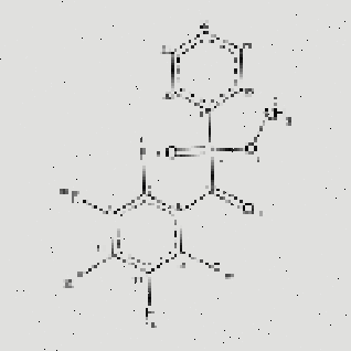 COP(=O)(C(=O)c1c(F)c(F)c(F)c(F)c1F)c1ccccc1